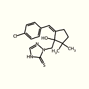 CC1(C)CCC(=Cc2ccc(Cl)cc2)C1(O)Cn1nc[nH]c1=S